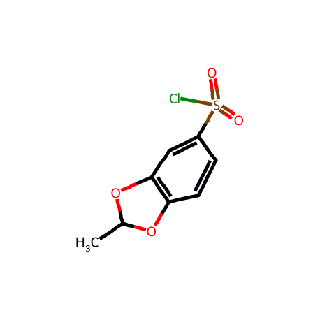 CC1Oc2ccc(S(=O)(=O)Cl)cc2O1